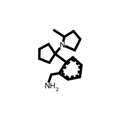 CC1CCCN1C1(c2ccccc2CN)CCCC1